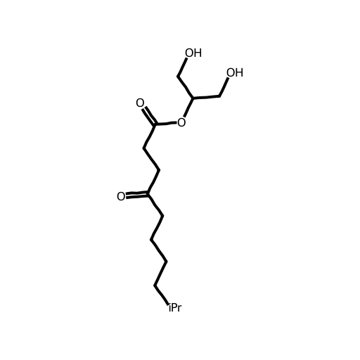 CC(C)CCCCC(=O)CCC(=O)OC(CO)CO